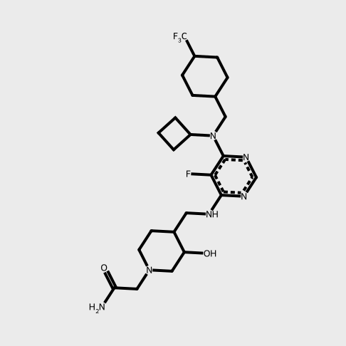 NC(=O)CN1CCC(CNc2ncnc(N(CC3CCC(C(F)(F)F)CC3)C3CCC3)c2F)C(O)C1